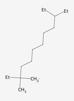 [CH2]C(C)(CC)CCCCCCC(CC)CC